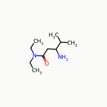 CCN(CC)C(=O)CC(N)C(C)C